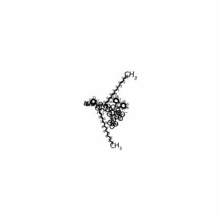 CCCCCCCCCCCCC/C=C/[C@@H](OC(=O)c1ccccc1)[C@H](CO[C@H]1O[C@H](COS(=O)(=O)[O-])[C@H](OS(=O)(=O)[O-])[C@H](OCc2ccccc2)[C@H]1OCc1ccccc1)NC(=O)CCCCCCCCCCCCCCC.[Na+].[Na+]